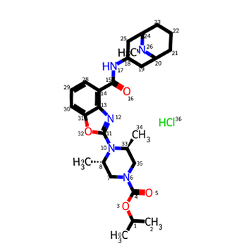 CC(C)OC(=O)N1C[C@H](C)N(c2nc3c(C(=O)NC4CC5CCCC(C4)N5C)cccc3o2)[C@@H](C)C1.Cl